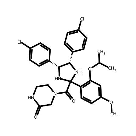 COc1ccc(C2(C(=O)N3CCNC(=O)C3)N[C@H](c3ccc(Cl)cc3)[C@H](c3ccc(Cl)cc3)N2)c(OC(C)C)c1